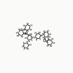 c1ccc(-c2cc(-c3ccc(-c4cccc5c4oc4ccccc45)cc3)cc(-n3c4ccccc4c4ccccc43)c2)cc1